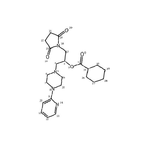 O=C(OC(CN1CCN(c2ccccn2)CC1)CN1C(=O)CCC1=O)C1CCCCC1